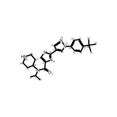 CC(C)N(C(=O)c1csc(-c2cnn(-c3ccc(C(C)(C)C)cc3)c2)n1)C1CCNCC1